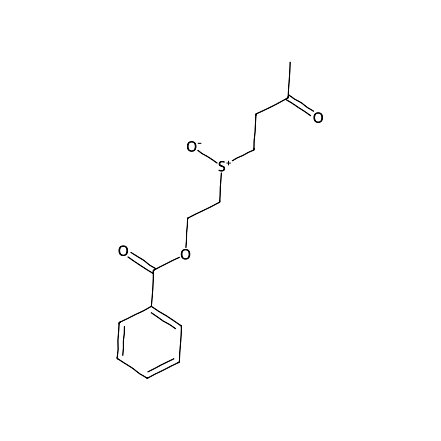 CC(=O)CC[S+]([O-])CCOC(=O)c1ccccc1